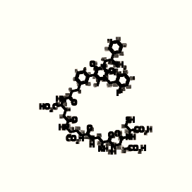 Cc1c(-c2cccc(CCC(=O)N[C@@H](CCC(=O)N[C@H](CCC(=O)NC[C@H](N)C(=O)N[C@@H](CC(=O)O)C(=O)N[C@@H](CS)C(=O)O)C(=O)O)C(=O)O)c2)c(=O)n(CC(N)c2ccccc2)c(=O)n1Cc1c(F)cccc1F